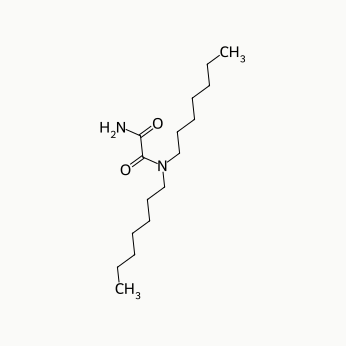 CCCCCCCN(CCCCCCC)C(=O)C(N)=O